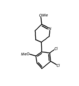 COC1=NCC(c2c(OC)ccc(Cl)c2Cl)CC1